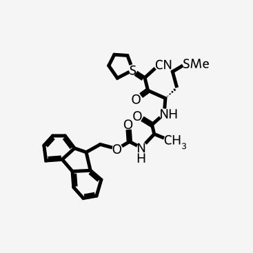 CSCC[C@H](NC(=O)C(C)NC(=O)OCC1c2ccccc2-c2ccccc21)C(=O)C(C#N)=S1CCCC1